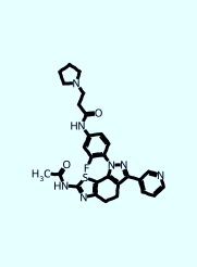 CC(=O)Nc1nc2c(s1)-c1c(c(-c3cccnc3)nn1-c1ccc(NC(=O)CCN3CCCC3)cc1F)CC2